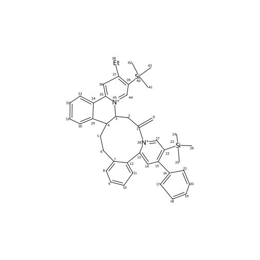 C=C1CC2C(CCc3ccccc3-c3cc(-c4ccccc4)c([Si](C)(C)C)c[n+]31)c1ccccc1-c1cc(CC)c([Si](C)(C)C)c[n+]12